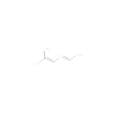 CN/C=N/C=C(\SC)[N+](=O)[O-]